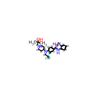 CC(C)(O)CN1CCC(N(CC(F)(F)F)c2ccc(C(=O)Nc3ccccc3N)cc2)CC1